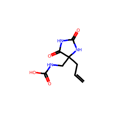 C=CCC1(CNC(=O)O)NC(=O)NC1=O